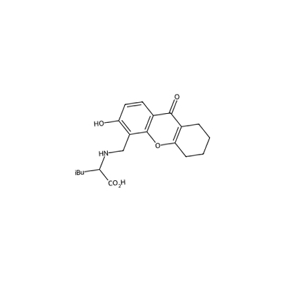 CCC(C)C(NCc1c(O)ccc2c(=O)c3c(oc12)CCCC3)C(=O)O